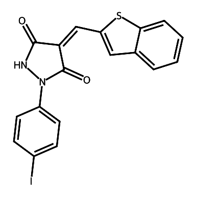 O=C1NN(c2ccc(I)cc2)C(=O)/C1=C\c1cc2ccccc2s1